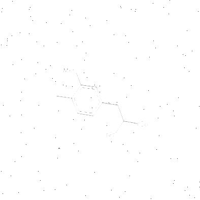 CCCCC(CCC)Cc1ccc(C)c(OC)c1